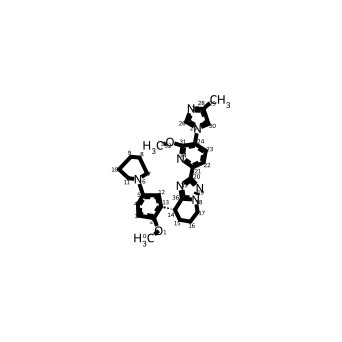 COc1ccc(N2CCCCC2)cc1[C@H]1CCCn2nc(-c3ccc(-n4cnc(C)c4)c(OC)n3)nc21